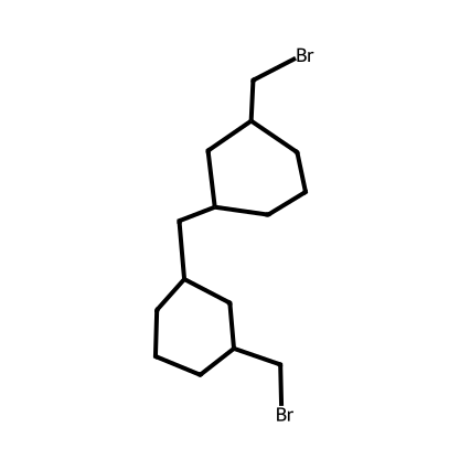 BrCC1CCCC(CC2CCCC(CBr)C2)C1